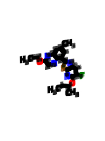 C[CH][C@H](C)Oc1nc2sc(-c3cc(C)cc4nc(OCC)cnc34)nc2cc1F